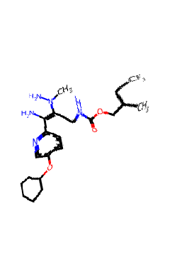 CC(COC(=O)NC/C(=C(/N)c1ccc(OC2CCCCC2)cn1)N(C)N)CC(F)(F)F